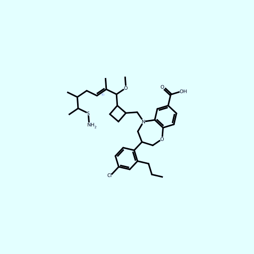 CCCc1cc(Cl)ccc1C1COc2ccc(C(=O)O)cc2N(CC2CCC2C(OC)/C(C)=C/CC(C)C(C)SN)C1